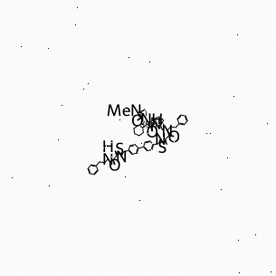 CN[C@@H](C)C(=O)N[C@H](C(=O)N1CCC[C@H]1CN(CCc1ccccc1)C(=O)c1csc(-c2ccc(-c3ccc(-c4nc(C(=O)NCCc5ccccc5)cs4)cc3)cc2)n1)C1CCCCC1